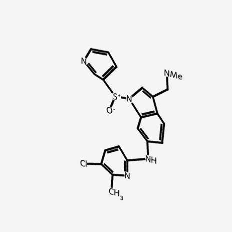 CNCc1cn([S+]([O-])c2cccnc2)c2cc(Nc3ccc(Cl)c(C)n3)ccc12